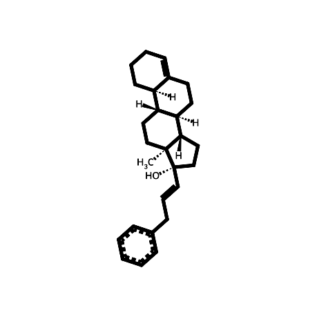 C[C@]12CC[C@H]3[C@@H](CCC4=CCCC[C@@H]43)[C@@H]1CC[C@@]2(O)/C=C/Cc1ccccc1